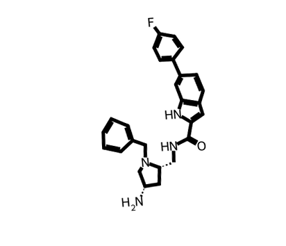 N[C@H]1C[C@@H](CNC(=O)c2cc3ccc(-c4ccc(F)cc4)cc3[nH]2)N(Cc2ccccc2)C1